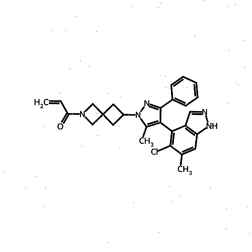 C=CC(=O)N1CC2(CC(n3nc(-c4ccccc4)c(-c4c(Cl)c(C)cc5[nH]ncc45)c3C)C2)C1